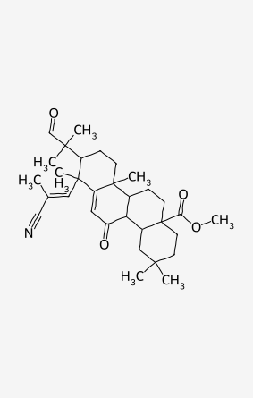 COC(=O)C12CCC3C(C(=O)C=C4C(C)(/C=C(\C)C#N)C(C(C)(C)C=O)CCC43C)C1CC(C)(C)CC2